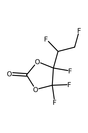 O=C1OC(F)(F)C(F)(C(F)CF)O1